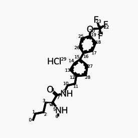 CCCC[C@H](NC)C(=O)NCCc1ccc(-c2ccc(OC(F)(F)F)cc2)cc1.Cl